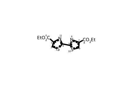 CCOC(=O)c1csc(-c2nc(C(=O)OCC)cs2)n1